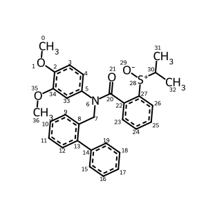 COc1ccc(N(Cc2ccccc2-c2ccccc2)C(=O)c2ccccc2[S+]([O-])C(C)C)cc1OC